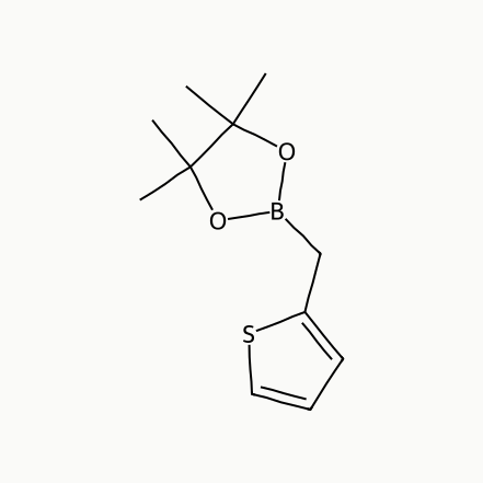 CC1(C)OB(Cc2cccs2)OC1(C)C